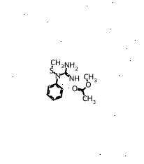 COC(C)=O.CSN(C(=N)N)c1ccccc1